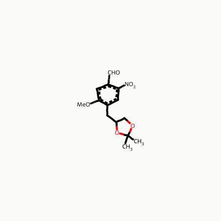 COc1cc(C=O)c([N+](=O)[O-])cc1CC1COC(C)(C)O1